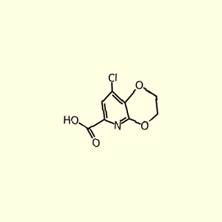 O=C(O)c1cc(Cl)c2c(n1)OCCO2